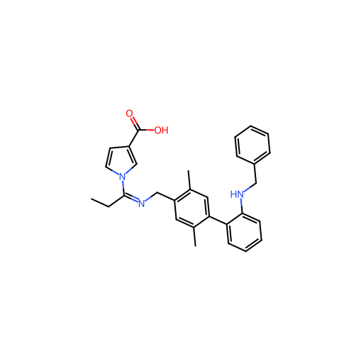 CCC(=NCc1cc(C)c(-c2ccccc2NCc2ccccc2)cc1C)n1ccc(C(=O)O)c1